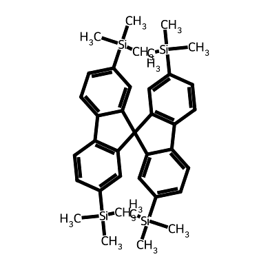 C[Si](C)(C)c1ccc2c(c1)C1(c3cc([Si](C)(C)C)ccc3-2)c2cc([Si](C)(C)C)ccc2-c2ccc([Si](C)(C)C)cc21